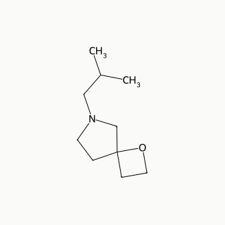 CC(C)CN1CCC2(CCO2)C1